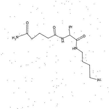 CC(=O)CCCCNC(=O)C(NC(=O)CCCC(N)=O)C(C)C